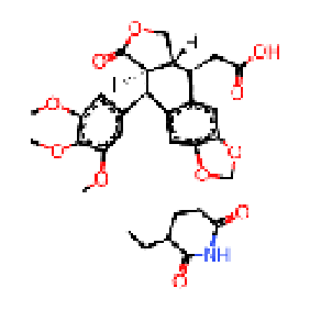 CCC1CCC(=O)NC1=O.COc1cc([C@@H]2c3cc4c(cc3[C@H](CC(=O)O)[C@H]3COC(=O)[C@H]23)OCO4)cc(OC)c1OC